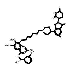 COc1cc2c(N[C@H](C)c3cccc(Br)c3)nc(C)nc2c(CCCCCCCN2CCC(c3cc(F)cc4c3CN(C3CCC(=O)NC3=O)C4=O)CC2)c1OC